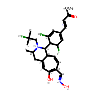 COC(=O)/C=C/C1=CC(F)C(C2C3C=CC(/C=N/O)=C(O)C=C3CC(C)N2CC(C)(C)F)C(F)=C1